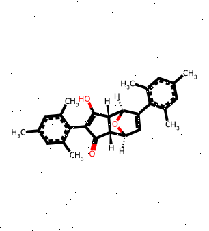 Cc1cc(C)c(C2=C[C@@H]3O[C@H]2[C@H]2C(O)=C(c4c(C)cc(C)cc4C)C(=O)[C@H]23)c(C)c1